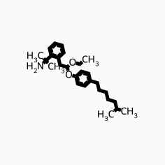 CCOC(Cc1ccccc1C(C)(C)N)Oc1ccc(CCCCCC(C)C)cc1